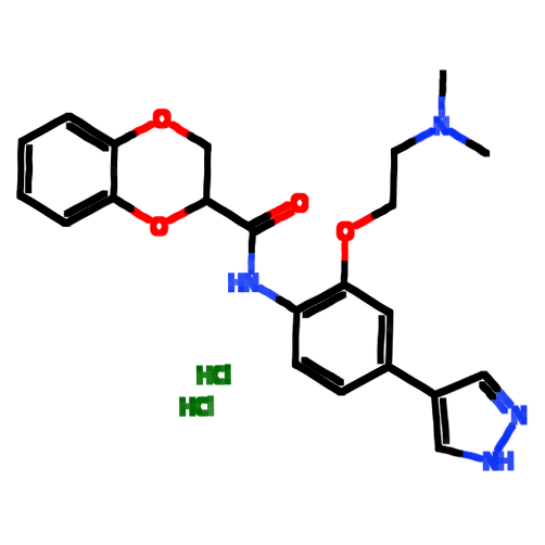 CN(C)CCOc1cc(-c2cn[nH]c2)ccc1NC(=O)C1COc2ccccc2O1.Cl.Cl